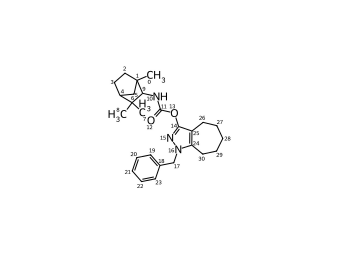 CC12CCC(C1)C(C)(C)C2NC(=O)Oc1nn(Cc2ccccc2)c2c1CCCCC2